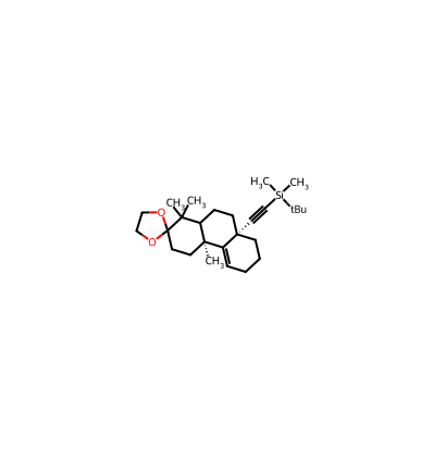 CC1(C)C2CC[C@@]3(C#C[Si](C)(C)C(C)(C)C)CCCC=C3[C@@]2(C)CCC12OCCO2